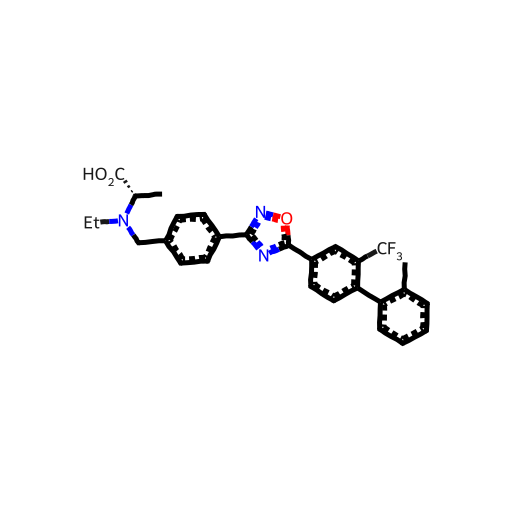 CCN(Cc1ccc(-c2noc(-c3ccc(-c4ccccc4C)c(C(F)(F)F)c3)n2)cc1)[C@@H](C)C(=O)O